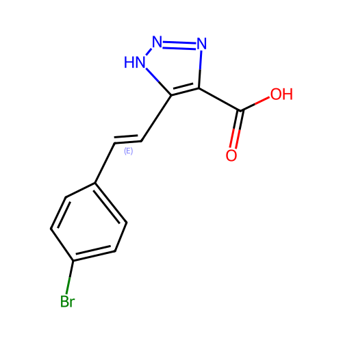 O=C(O)c1nn[nH]c1/C=C/c1ccc(Br)cc1